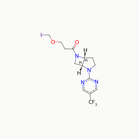 O=C(CCOCI)N1C[C@@H]2[C@H]1CCN2c1ncc(C(F)(F)F)cn1